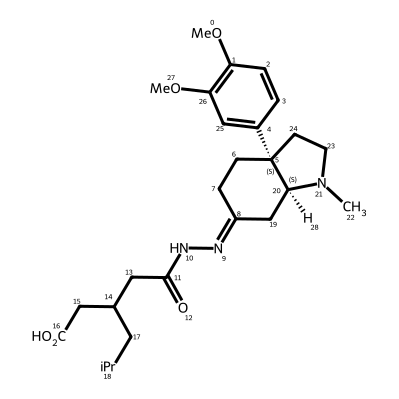 COc1ccc([C@@]23CCC(=NNC(=O)CC(CC(=O)O)CC(C)C)C[C@@H]2N(C)CC3)cc1OC